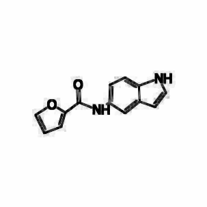 O=C(Nc1ccc2[nH]ccc2c1)c1ccco1